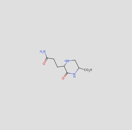 NC(=O)CCC1NCC(C(=O)O)NC1=O